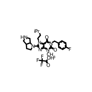 CC(C)CCn1c(N2CCC3CNCC32)nc2c1c(=O)n(Cc1ccc(F)cc1)c(=O)n2C.O=C(O)C(F)(F)F